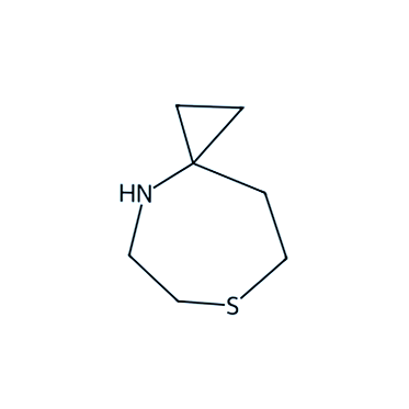 C1CSCCC2(CC2)N1